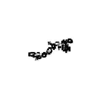 N#Cc1cc(OC[C@@H]2CO[C@@](CN3N=CCN3)(c3ccccc3)O2)ccc1N1CCN(c2ccc(-n3cnn(CC4CCCC4)c3=O)cc2)CC1